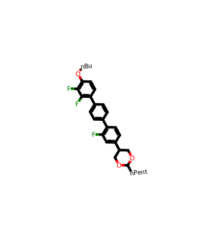 CCCCCC1OCC(c2ccc(-c3ccc(-c4ccc(OCCCC)c(F)c4F)cc3)c(F)c2)CO1